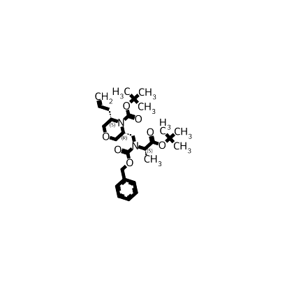 C=CC[C@H]1COC[C@@H](CN(C(=O)OCc2ccccc2)[C@@H](C)C(=O)OC(C)(C)C)N1C(=O)OC(C)(C)C